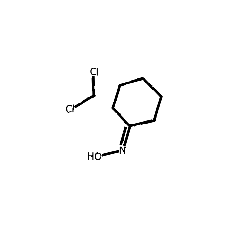 ClCCl.ON=C1CCCCC1